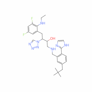 CCNc1c(F)cc(F)cc1CC(C(O)CNCc1cc(CC(C)(C)C)ccc1-c1ncc[nH]1)n1cnnn1